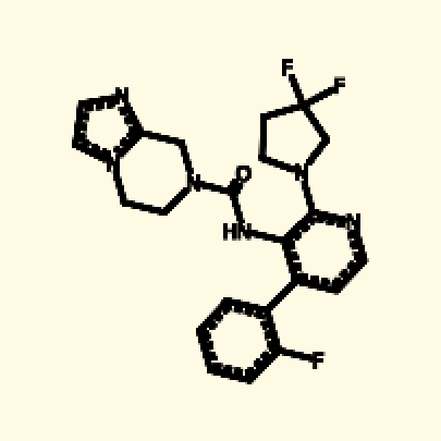 O=C(Nc1c(-c2ccccc2F)ccnc1N1CCC(F)(F)C1)N1CCn2ccnc2C1